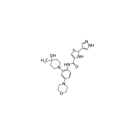 CC1(O)CCN(c2cc(N3CCOCC3)ccc2NC(=O)C2=CSC(c3cn[nH]c3)N2)CC1